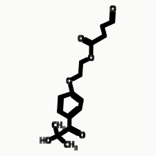 CC(C)(O)C(=O)c1ccc(OCCOC(=O)CCC=O)cc1